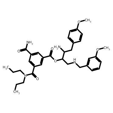 CCCN(CCC)C(=O)c1cc(C(N)=O)cc(C(=O)OC(CNCc2cccc(OC)c2)C(N)Cc2ccc(OC)cc2)c1